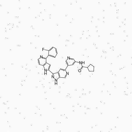 O=C(Nc1cncc(-c2cc3c(-c4cc5c(-c6ccccc6F)nccc5[nH]4)n[nH]c3cn2)c1)C1CCCC1